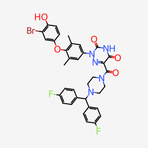 Cc1cc(-n2nc(C(=O)N3CCN(C(c4ccc(F)cc4)c4ccc(F)cc4)CC3)c(=O)[nH]c2=O)cc(C)c1Oc1ccc(O)c(Br)c1